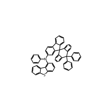 c1ccc(N(c2ccc3c(c2)C2(c4ccccc4-3)c3ccccc3C(c3ccccc3)(c3ccccc3)c3ccccc32)c2cccc3sc4ccccc4c23)cc1